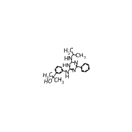 CC(C)NC1N=C(c2ccccc2)N=C(Nc2cccc(C(C)(C)O)c2)N1